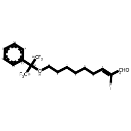 O=CC(F)=CCCCCCCOC(c1ccccc1)(C(F)(F)F)C(F)(F)F